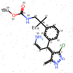 C=c1[nH]nc(Cl)/c1=C(/C=C\N)c1cccc(C(C)(CC)CNC(=O)OC(C)(C)C)c1